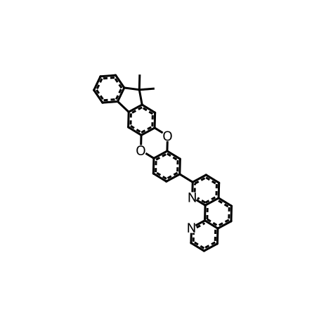 CC1(C)c2ccccc2-c2cc3c(cc21)Oc1cc(-c2ccc4ccc5cccnc5c4n2)ccc1O3